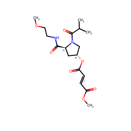 COCCNC(=O)[C@@H]1C[C@@H](OC(=O)/C=C/C(=O)OC)CN1C(=O)C(C)C